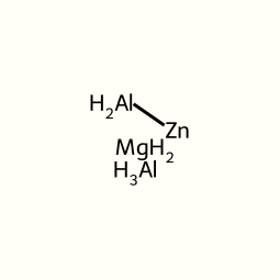 [AlH2][Zn].[AlH3].[MgH2]